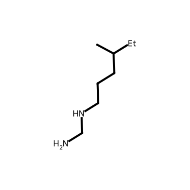 CCC(C)CCCNCN